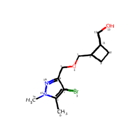 Cc1c(Br)c(COCC2CCC2CO)nn1C